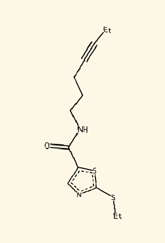 CCC#CCCCNC(=O)c1cnc(SCC)s1